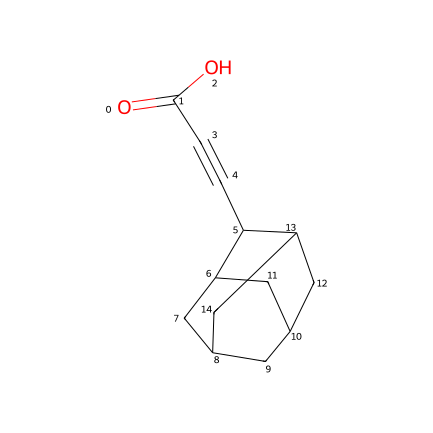 O=C(O)C#CC1C2CC3CC(C2)CC1C3